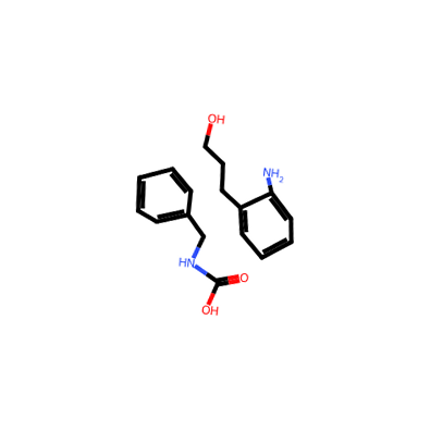 Nc1ccccc1CCCO.O=C(O)NCc1ccccc1